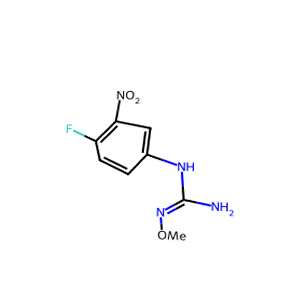 CON=C(N)Nc1ccc(F)c([N+](=O)[O-])c1